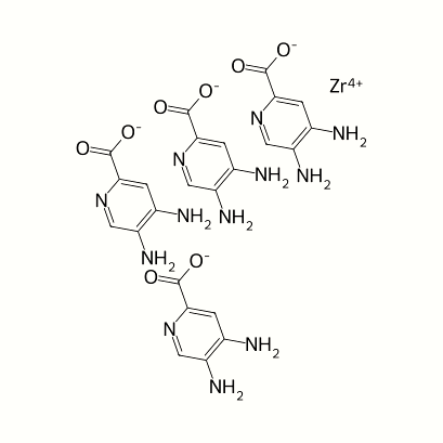 Nc1cnc(C(=O)[O-])cc1N.Nc1cnc(C(=O)[O-])cc1N.Nc1cnc(C(=O)[O-])cc1N.Nc1cnc(C(=O)[O-])cc1N.[Zr+4]